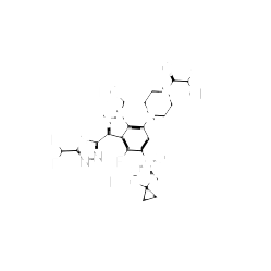 CCn1nc(-c2nnc(C(F)F)s2)c2c(F)c(S(=O)(=O)NC3(C)CC3)cc(N3CCN(C(=O)C(C)C)CC3)c21